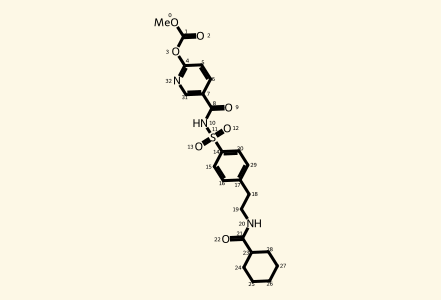 COC(=O)Oc1ccc(C(=O)NS(=O)(=O)c2ccc(CCNC(=O)C3CCCCC3)cc2)cn1